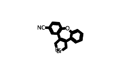 N#Cc1ccc2c(c1)C(CBr)=C(CBr)c1ccccc1O2